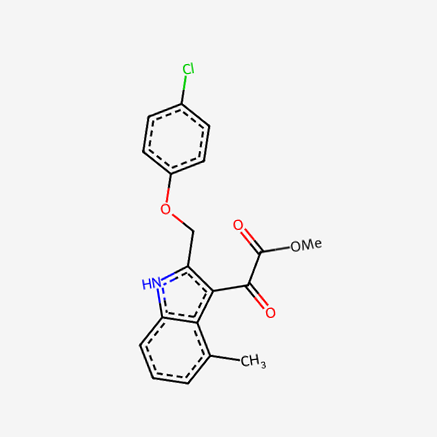 COC(=O)C(=O)c1c(COc2ccc(Cl)cc2)[nH]c2cccc(C)c12